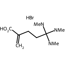 Br.C=C(CCC(NC)(NC)NC)C(=O)O